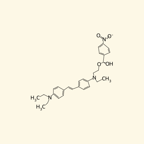 CCN(CC)c1ccc(/C=C/c2ccc(N(CC)CCO[C@H](O)c3ccc([N+](=O)[O-])cc3)cc2)cc1